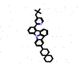 CC(C)(C)Cc1ccnc(-c2cccc3c2c2cccc4c5cc(C6CCC7(CCCCC7)CC6)ccc5n3c42)c1